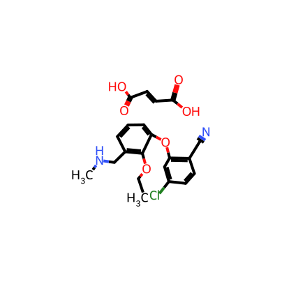 CCOc1c(CNC)cccc1Oc1cc(Cl)ccc1C#N.O=C(O)/C=C/C(=O)O